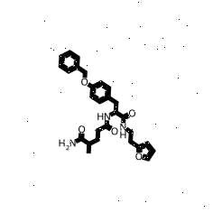 CC(C[CH]C(=O)NC(Cc1ccc(OCc2ccccc2)cc1)C(=O)NCCc1ccco1)C(N)=O